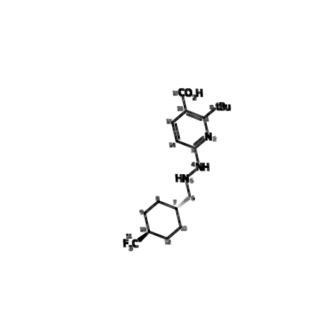 CC(C)(C)c1nc(NNC[C@H]2CC[C@H](C(F)(F)F)CC2)ccc1C(=O)O